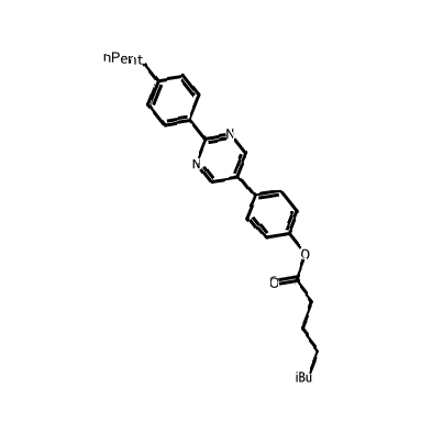 CCCCCc1ccc(-c2ncc(-c3ccc(OC(=O)CCCC(C)CC)cc3)cn2)cc1